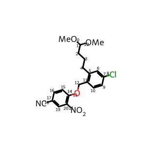 COC(CCCc1cc(Cl)ccc1COc1ccc(C#N)cc1[N+](=O)[O-])OC